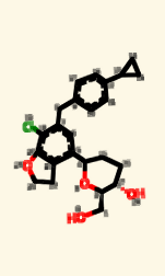 OC[C@H]1OC(c2cc(Cc3ccc(C4CC4)cc3)c(Cl)c3c2CCO3)CC[C@@H]1O